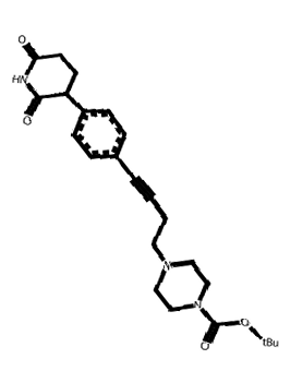 CC(C)(C)OC(=O)N1CCN(CCC#Cc2ccc(C3CCC(=O)NC3=O)cc2)CC1